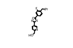 CC(C)Cc1ccc(-c2nc(-c3ccc(CO)nc3)no2)cc1F